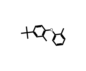 Cc1ccccc1Oc1ccc(C(C)(C)C)cc1C